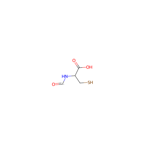 O=[C]NC(CS)C(=O)O